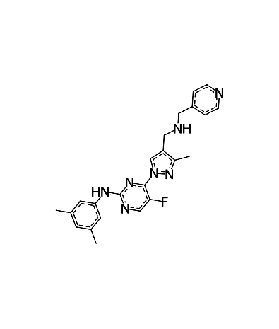 Cc1cc(C)cc(Nc2ncc(F)c(-n3cc(CNCc4ccncc4)c(C)n3)n2)c1